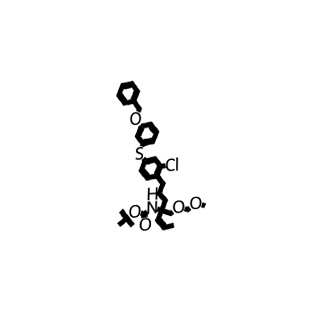 C/C=C\C(CCCc1ccc(Sc2cccc(OCc3ccccc3)c2)cc1Cl)(COCOC)NC(=O)OC(C)(C)C